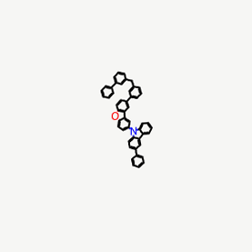 c1ccc(-c2cccc(Cc3cccc(-c4ccc5oc6ccc(-n7c8ccccc8c8cc(-c9ccccc9)ccc87)cc6c5c4)c3)c2)cc1